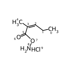 CCC=C(C)C(=O)ON.Cl